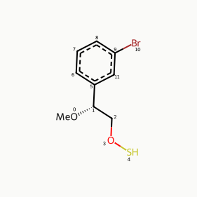 CO[C@@H](COS)c1cccc(Br)c1